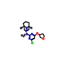 CN(c1nc(Cl)cc(O[C@H]2CCOC2)n1)[C@H]1C[C@H]2CCC[C@@H](C1)N2